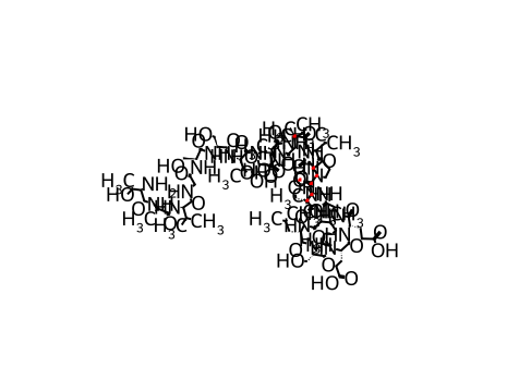 CC[C@H](C)[C@H](NC(=O)[C@H](CO)NC(=O)CNC(=O)[C@@H](NC(=O)[C@H](C)NC(=O)[C@H](C)NC(=O)[C@H](CO)NC(=O)[C@@H](NC(=O)[C@H](CO)NC(=O)[C@H](CO)NC(=O)CNC(=O)[C@@H](NC(=O)[C@H](C)NC(=O)[C@@H](N)[C@@H](C)O)C(C)C)[C@@H](C)O)C(C)C)C(=O)N[C@@H](CC(C)C)C(=O)N[C@@H](CO)C(=O)N[C@@H](CCC(=O)O)C(=O)N[C@@H](CCC(=O)O)C(=O)NCC(=O)N[C@H](C(=O)N1CCC[C@H]1C(=O)N[C@H](C(=O)N[C@@H](CO)C(=O)O)[C@@H](C)CC)C(C)C